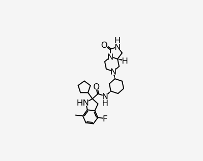 Cc1ccc(F)c2c1NC(C(=O)N[C@@H]1CCC[C@H](N3CCN4C(=O)NC[C@@H]4C3)C1)(C1CCCC1)C2